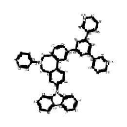 c1ccc(N2Cc3cc(-n4c5ccccc5c5ccccc54)ccc3-c3cc(-c4cc(-c5cccnc5)cc(-c5cccnc5)c4)ccc3C2)cc1